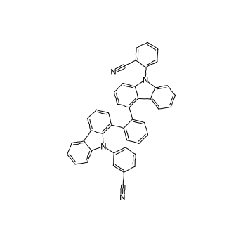 N#Cc1cccc(-n2c3ccccc3c3cccc(-c4ccccc4-c4cccc5c4c4ccccc4n5-c4ccccc4C#N)c32)c1